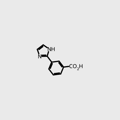 O=C(O)c1cccc(-c2ncc[nH]2)c1